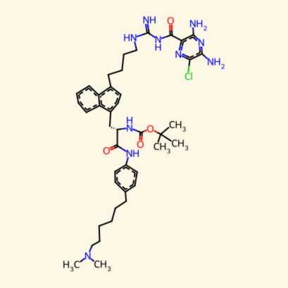 CN(C)CCCCCCc1ccc(NC(=O)[C@H](Cc2ccc(CCCCNC(=N)NC(=O)c3nc(Cl)c(N)nc3N)c3ccccc23)NC(=O)OC(C)(C)C)cc1